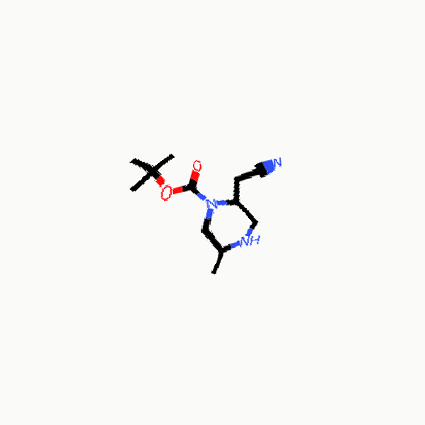 CC1CN(C(=O)OC(C)(C)C)C(CC#N)CN1